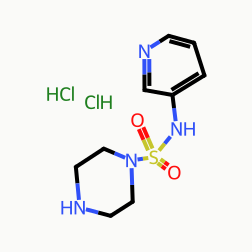 Cl.Cl.O=S(=O)(Nc1cccnc1)N1CCNCC1